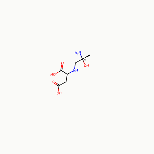 C[C@@](N)(O)CNC(CC(=O)O)C(=O)O